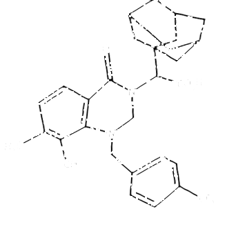 Cc1ccc2c(c1C)N(Cc1ccc(C(F)(F)F)cc1)CN(C(C(=O)O)C13CC4CC(CC(C4)C1)C3)C2=O